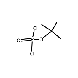 CC(C)(C)OP(=O)(Cl)Cl